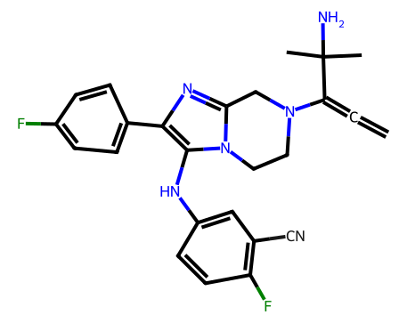 C=C=C(N1CCn2c(nc(-c3ccc(F)cc3)c2Nc2ccc(F)c(C#N)c2)C1)C(C)(C)N